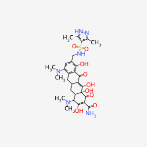 Cc1n[nH]c(C)c1S(=O)(=O)NCc1cc(N(C)C)c2c(c1O)C(=O)C1=C(O)C3(O)C(=O)C(C(N)=O)=C(O)C(N(C)C)C3CC1C2